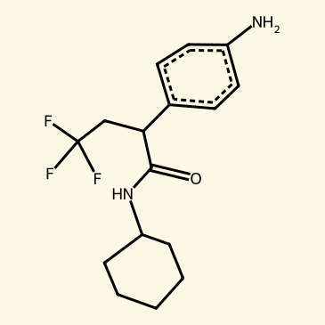 Nc1ccc(C(CC(F)(F)F)C(=O)NC2CCCCC2)cc1